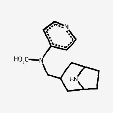 O=C(O)N(CC1CC2CCC(C1)N2)c1ccncc1